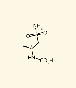 C[C@@H](CS(N)(=O)=O)NC(=O)O